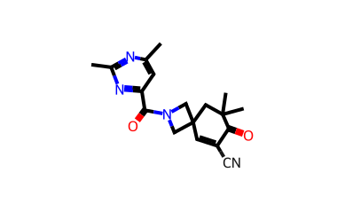 Cc1cc(C(=O)N2CC3(C=C(C#N)C(=O)C(C)(C)C3)C2)nc(C)n1